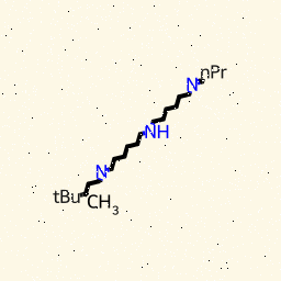 CCCC=NCCCCCCNCCCCCCN=CCC(C)C(C)(C)C